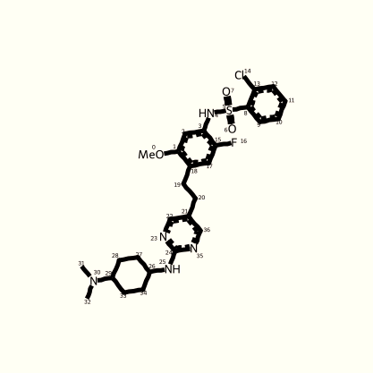 COc1cc(NS(=O)(=O)c2ccccc2Cl)c(F)cc1CCc1cnc(NC2CCC(N(C)C)CC2)nc1